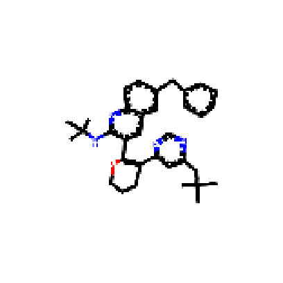 CC(C)(C)Cc1cc(C2=C(c3cc4cc(Cc5ccccc5)ccc4nc3NC(C)(C)C)OCCC2)ncn1